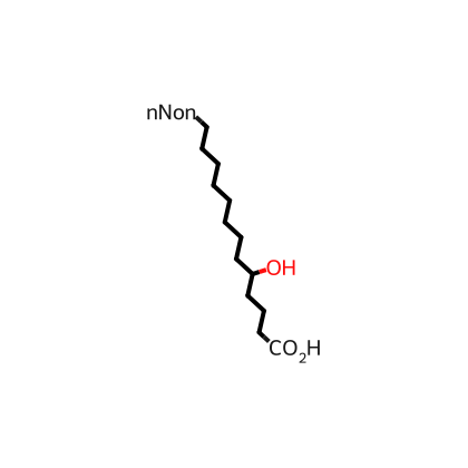 CCCCCCCCCCCCCCCCCC(O)CCCC(=O)O